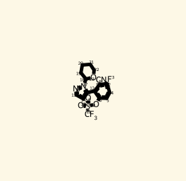 N#Cc1c(F)ccc(OS(=O)(=O)C(F)(F)F)c1-c1ccnn1C1CCCCO1